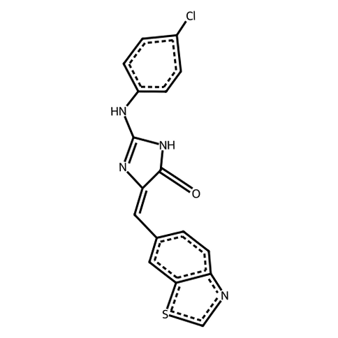 O=C1NC(Nc2ccc(Cl)cc2)=NC1=Cc1ccc2ncsc2c1